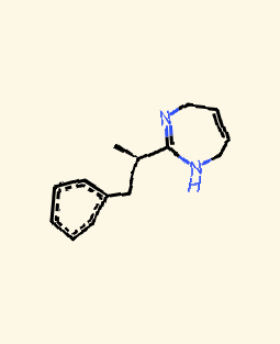 C[C@H](Cc1ccccc1)C1=NCC=CCN1